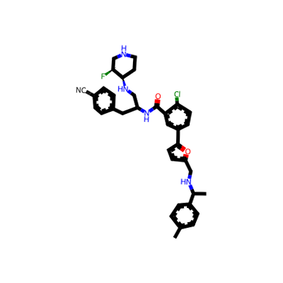 Cc1ccc(C(C)NCc2ccc(-c3ccc(Cl)c(C(=O)NC(CN[C@@H]4CCNC[C@@H]4F)Cc4ccc(C#N)cc4)c3)o2)cc1